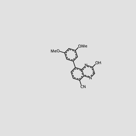 COc1cc(OC)cc(-c2ccc(C#N)c3ncc(O)nc23)c1